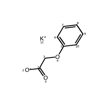 O=C([O-])COc1ccccc1.[K+]